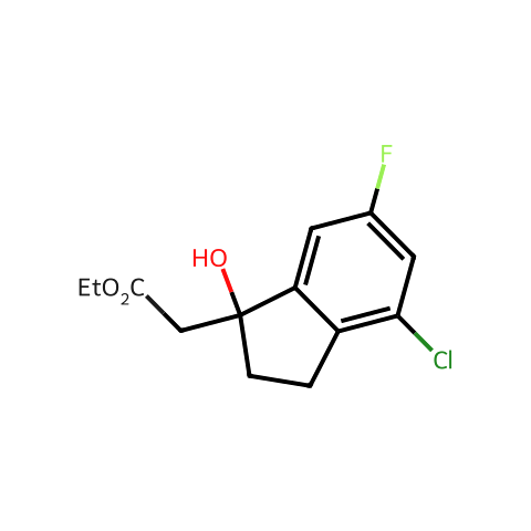 CCOC(=O)CC1(O)CCc2c(Cl)cc(F)cc21